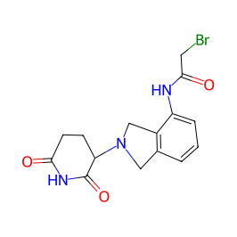 O=C1CCC(N2Cc3cccc(NC(=O)CBr)c3C2)C(=O)N1